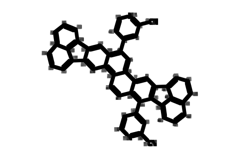 N#Cc1cc(-c2cc3c4cc5c(c(-c6ccnc(C#N)c6)c4ccc3c3cc4c(cc23)-c2cccc3cccc-4c23)-c2cccc3cccc-5c23)ccn1